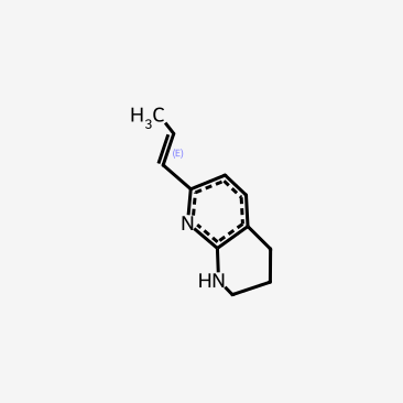 C/C=C/c1ccc2c(n1)NCCC2